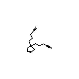 N#CCCCC1(CCCC#N)CC=CC1